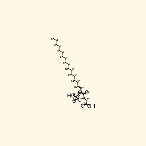 CCCCCCCCCCCCCCCCC=COC(=O)C(CC(=O)O)OS(=O)(=O)O